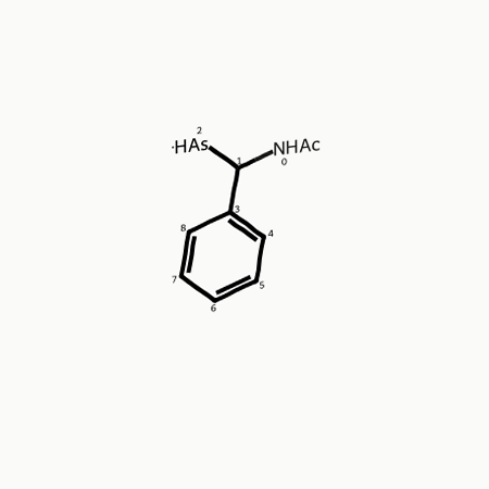 CC(=O)NC([AsH])c1ccccc1